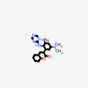 CCCCc1cc(N(C)C)cc(-c2cc3ccccc3oc2=O)c1Nc1ncncn1